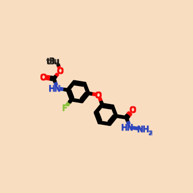 CC(C)(C)OC(=O)Nc1ccc(Oc2cccc(C(=O)NN)c2)cc1F